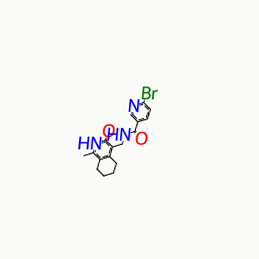 Cc1[nH]c(=O)c(CNC(=O)c2ccc(Br)nc2)c2c1CCCC2